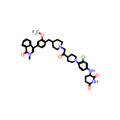 Cn1cc(-c2ccc(CC3CCN(CC(=O)C4CCN(c5ccc(NC6CCC(=O)NC6=O)cc5Cl)CC4)CC3)c(OC(F)(F)F)c2)c2ccccc2c1=O